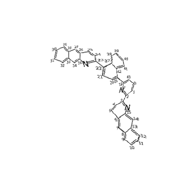 c1cc(-c2ccc3cc4ccccc4cc3n2)nc(-c2ccc(-c3ccc4cc5ccccc5cc4n3)c3ccccc23)c1